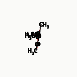 CCCCCCCCCCCCC(CCOC(=O)CCCCCCCCC(=O)OCCCCCCCC)OC(=O)OCCCN(C)CC